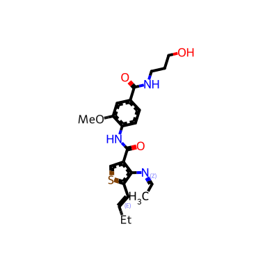 C/C=N\c1c(C(=O)Nc2ccc(C(=O)NCCCO)cc2OC)csc1/C=C/CC